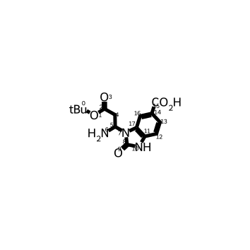 CC(C)(C)OC(=O)CC(N)n1c(=O)[nH]c2ccc(C(=O)O)cc21